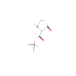 CC(C)(C)OC(=O)C1C(=O)NCC1(C)C